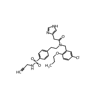 C#CCNS(=O)(=O)c1ccc(CCN(Cc2cc(Cl)ccc2OCCC)C(=O)Cc2c[nH]cn2)cc1